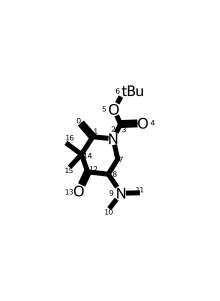 C=C1N(C(=O)OC(C)(C)C)CC(N(C)C)C(=O)C1(C)C